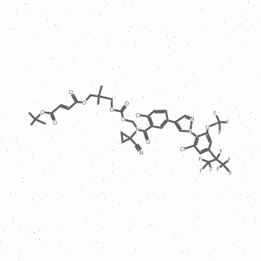 CC(C)(COC(=O)/C=C/C(=O)OC(C)(C)C)COC(=O)OCN(C(=O)c1cc(-c2cnn(-c3c(Cl)cc(C(F)(C(F)(F)F)C(F)(F)F)cc3OC(F)(F)F)c2)ccc1Cl)C1(C#N)CC1